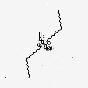 Br.CCCCCCCC/C=C\CCCCCCCC(=O)OC(CCO)(CC(C)(C)N)OC(=O)CCCCCCC/C=C\CCCCCCCC